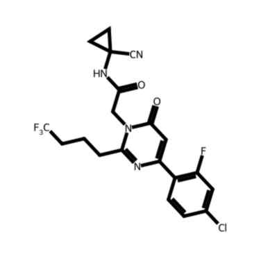 N#CC1(NC(=O)Cn2c(CCCC(F)(F)F)nc(-c3ccc(Cl)cc3F)cc2=O)CC1